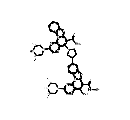 CNC(=O)c1c(N2CCC(c3ccc4c(c3)nc3c(C(=O)NC(C)C)c(NC)c5ncc(N6C[C@@H](C)N[C@@H](C)C6)nc5n34)C2)c2ncc(N3C[C@@H](C)N[C@@H](C)C3)nc2n2c1nc1ccccc12